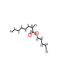 CCCCCCC(C)C(=O)OCCCCC